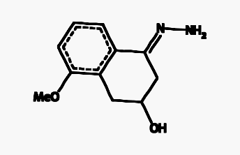 COc1cccc2c1CC(O)CC2=NN